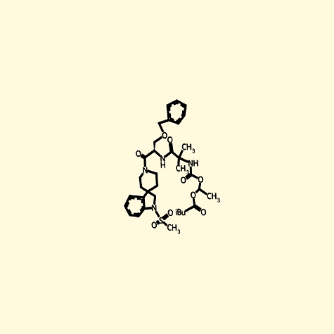 CCC(C)C(=O)OC(C)OC(=O)NC(C)(C)C(=O)N[C@H](COCc1ccccc1)C(=O)N1CCC2(CC1)CN(S(C)(=O)=O)c1ccccc12